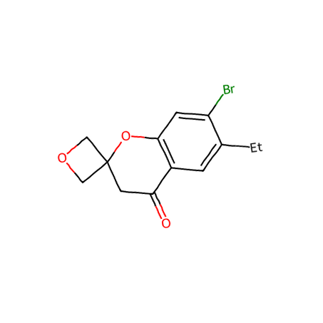 CCc1cc2c(cc1Br)OC1(COC1)CC2=O